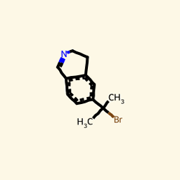 CC(C)(Br)c1ccc2c(c1)CCN=C2